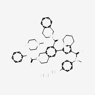 CN(C(=O)c1cc(-c2cc3c(cc2C(=O)N2Cc4ccccc4C[C@H]2CN2CCOCC2)CN(C(=O)Oc2ccccc2)CC3)n2c1CCCC2)c1ccc(O)cc1.Cl